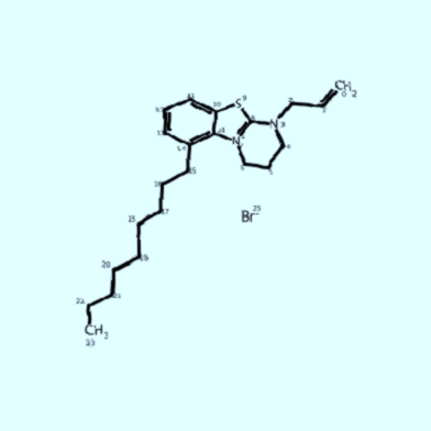 C=CCN1CCC[n+]2c1sc1cccc(CCCCCCCCC)c12.[Br-]